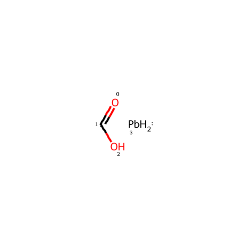 O=[C]O.[PbH2]